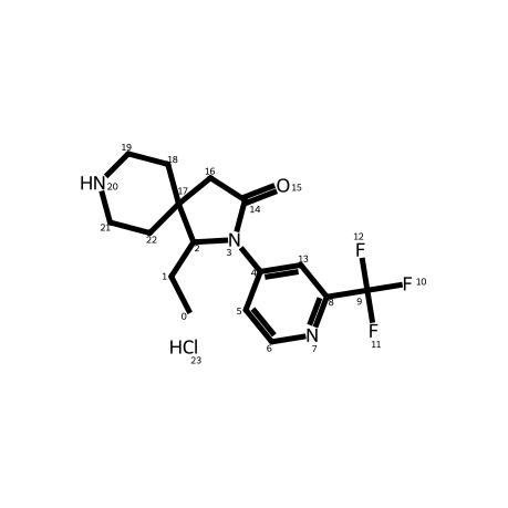 CCC1N(c2ccnc(C(F)(F)F)c2)C(=O)CC12CCNCC2.Cl